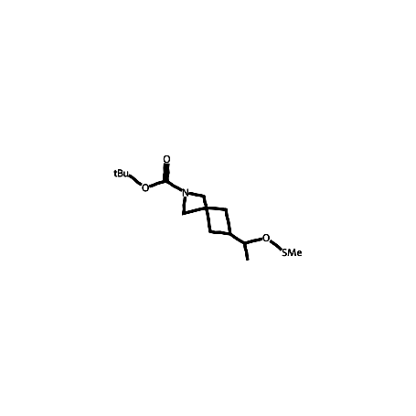 CSOC(C)C1CC2(C1)CN(C(=O)OC(C)(C)C)C2